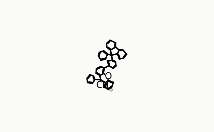 CC1(c2ccccc2)c2ccccc2Oc2c(-c3cccc(C4(c5ccccc5)c5ccccc5-c5ccccc54)c3)cccc21